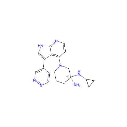 N[C@]1(NC2CC2)CCCN(c2ccnc3[nH]cc(-c4ccnnc4)c23)C1